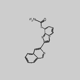 NC(=O)Oc1cccn2cc(-c3cc4ccccc4cn3)nc12